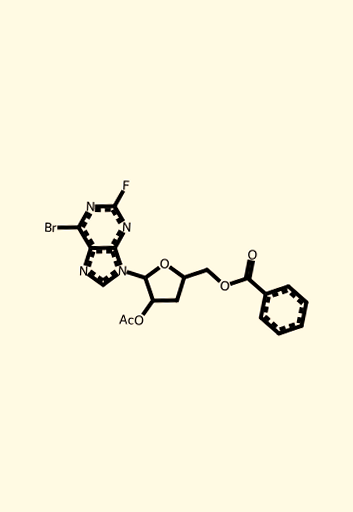 CC(=O)OC1CC(COC(=O)c2ccccc2)OC1n1cnc2c(Br)nc(F)nc21